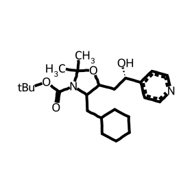 CC(C)(C)OC(=O)N1C(CC2CCCCC2)C(C[C@H](O)c2ccncc2)OC1(C)C